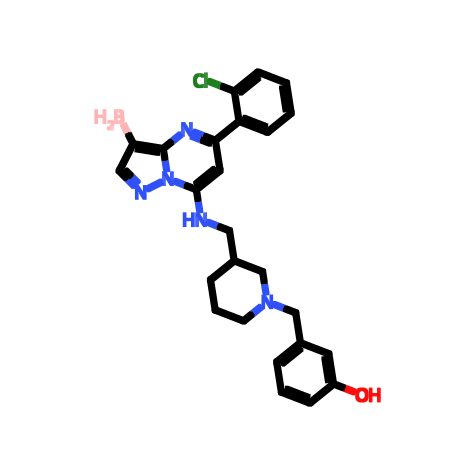 Bc1cnn2c(NCC3CCCN(Cc4cccc(O)c4)C3)cc(-c3ccccc3Cl)nc12